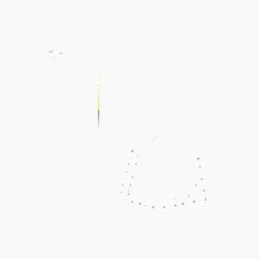 CC(=O)SCc1ccccc1